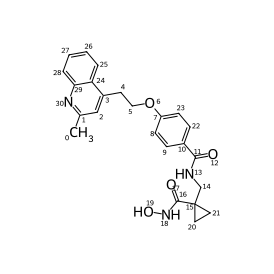 Cc1cc(CCOc2ccc(C(=O)NCC3(C(=O)NO)CC3)cc2)c2ccccc2n1